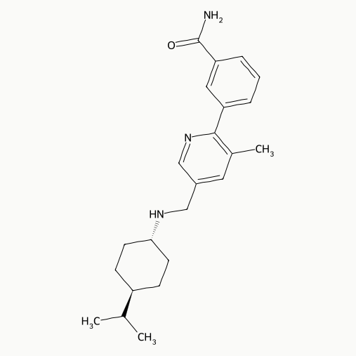 Cc1cc(CN[C@H]2CC[C@H](C(C)C)CC2)cnc1-c1cccc(C(N)=O)c1